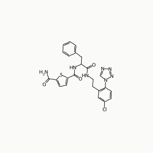 NC(=O)c1ccc(C(=O)NC(Cc2ccccc2)C(=O)NCCc2cc(Cl)ccc2-n2cnnn2)s1